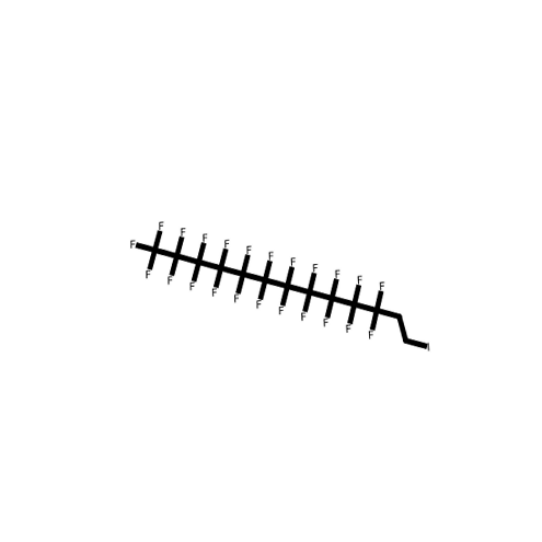 FC(F)(F)C(F)(F)C(F)(F)C(F)(F)C(F)(F)C(F)(F)C(F)(F)C(F)(F)C(F)(F)C(F)(F)C(F)(F)CCI